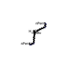 CCCCC/C=C\C/C=C\CCCCCCCCO[N+](C)(CCCC)OCCCCCCCC/C=C\C/C=C\CCCCC